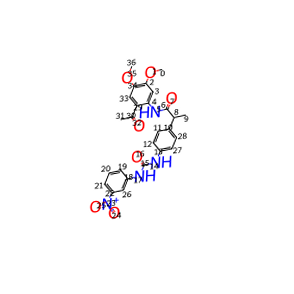 COc1cc(NC(=O)C(C)c2ccc(NC(=O)Nc3cccc([N+](=O)[O-])c3)cc2)c(C(C)=O)cc1OC